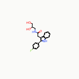 O=C(Cc1c(-c2ccc(F)cc2)[nH]c2ccccc12)NCC(O)CO